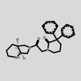 O=C(CN1CCCC(c2ccccc2)(c2ccccc2)C1=O)N1C[C@@H]2CCCN[C@@H]2C1